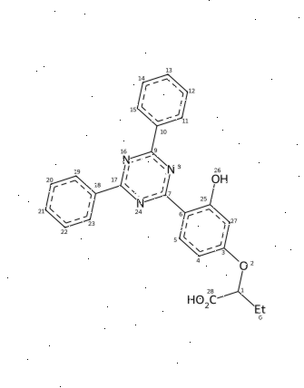 CCC(Oc1ccc(-c2nc(-c3ccccc3)nc(-c3ccccc3)n2)c(O)c1)C(=O)O